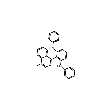 Fc1ccc(-c2c(Nc3ccccc3)cccc2Nc2ccccc2)c2ccccc12